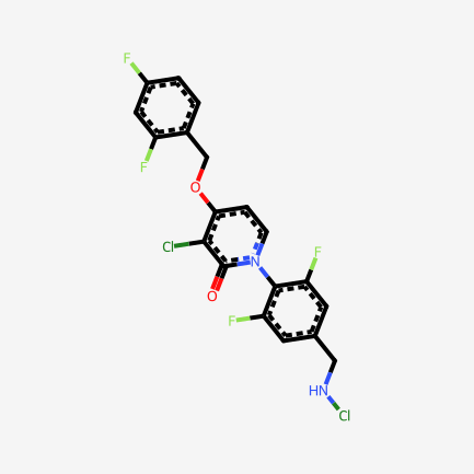 O=c1c(Cl)c(OCc2ccc(F)cc2F)ccn1-c1c(F)cc(CNCl)cc1F